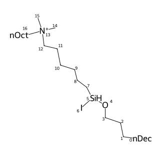 CCCCCCCCCCCCCO[SiH](I)CCCCCC[N+](C)(C)CCCCCCCC